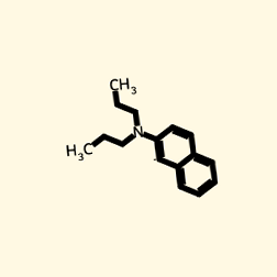 CCCN(CCC)c1[c]c2ccccc2cc1